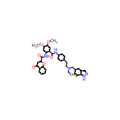 CCN(CCc1ccc(NC(=O)c2cc(OC)c(OC)cc2NC(=O)c2cc(=O)c3ccccc3o2)cc1)Cc1ccc2[nH]ncc2c1